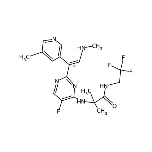 CN/C=C(\c1cncc(C)c1)c1ncc(F)c(NC(C)(C)C(=O)NCC(F)(F)F)n1